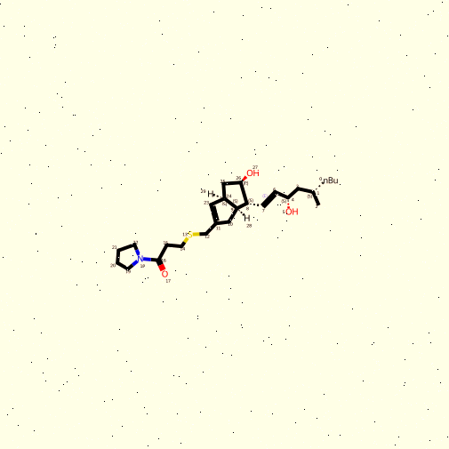 CCCC[C@H](C)C[C@H](O)/C=C/[C@@H]1[C@H]2CC(CSCCC(=O)N3CCCC3)=C[C@H]2C[C@H]1O